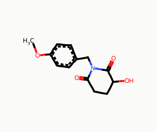 COc1ccc(CN2C(=O)CCC(O)C2=O)cc1